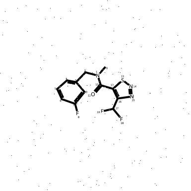 CN(Cc1cccc(F)c1)C(=O)c1snnc1C(F)F